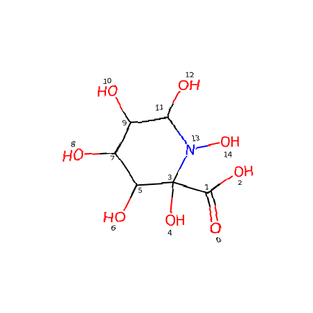 O=C(O)C1(O)C(O)C(O)C(O)C(O)N1O